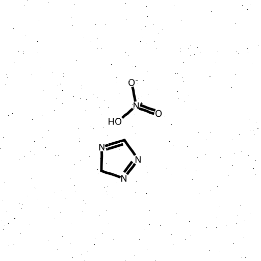 C1=NCN=N1.O=[N+]([O-])O